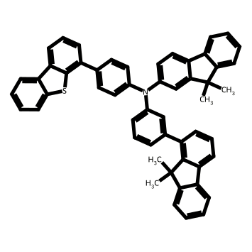 CC1(C)c2ccccc2-c2ccc(N(c3ccc(-c4cccc5c4sc4ccccc45)cc3)c3cccc(-c4cccc5c4C(C)(C)c4ccccc4-5)c3)cc21